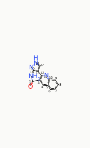 NC(=O)c1cc2ccccc2nc1-c1cn[nH]c1